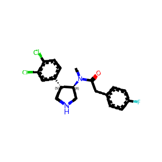 CN(C(=O)Cc1ccc(F)cc1)[C@H]1CNC[C@@H]1c1ccc(Cl)c(Cl)c1